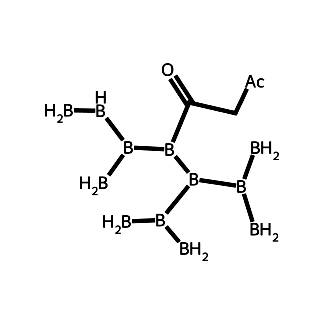 BBB(B)B(B(B(B)B)B(B)B)C(=O)CC(C)=O